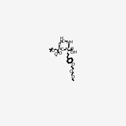 CCOCCOCCOc1ccc(CCC[C@@H](C(=O)O)N2CCNCCNCCN([C@H](COC(C)(C)C)C(=O)OC)CC2)cc1